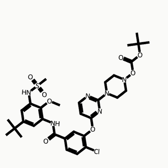 COc1c(NC(=O)c2ccc(Cl)c(Oc3ccnc(N4CCN(OC(=O)OC(C)(C)C)CC4)n3)c2)cc(C(C)(C)C)cc1NS(C)(=O)=O